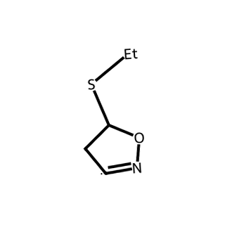 CCSC1C[C]=NO1